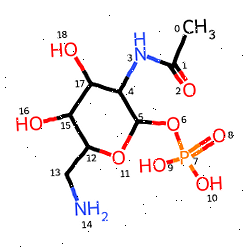 CC(=O)NC1C(OP(=O)(O)O)OC(CN)C(O)C1O